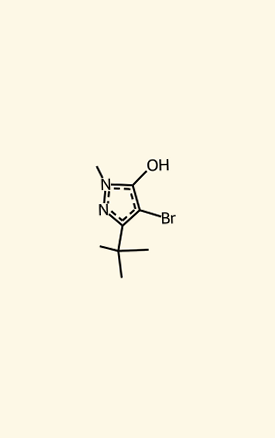 Cn1nc(C(C)(C)C)c(Br)c1O